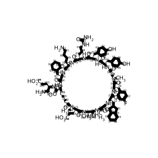 CCCC[C@H]1C(=O)NC(C)(C)C(=O)N[C@@H](CC2Cc3ccccc3C2)C(=O)N[C@@H](Cc2ccc(F)cc2)C(=O)N(C)CC(=O)N[C@@H](Cc2ccc(O)cc2)C(=O)N[C@@H](Cc2ccc(O)cc2)C(=O)N[C@@H](CCCNC(N)=O)C(=O)N[C@H](CCCCN)C(=O)N[C@@H](CC2CCCCC2)C(=O)N[C@H](C(=O)N[C@H](CCC(=O)O)C(N)=O)CSCC(=O)N(C)[C@@H](CCC(=O)O)C(=O)N1C